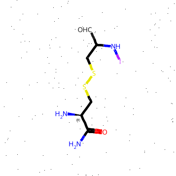 NC(=O)[C@@H](N)CSSCC(C=O)NI